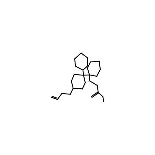 C=CCCC1CCC(C2CCCCC2)(C2(CCC(=C)CC)CCCCC2)CC1